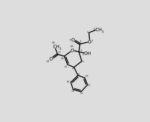 CCOC(=O)C1(O)CC(c2ccccc2)C=C(C(C)=O)O1